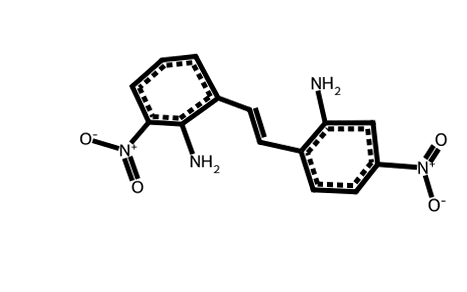 Nc1cc([N+](=O)[O-])ccc1/C=C/c1cccc([N+](=O)[O-])c1N